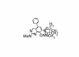 CNc1ncc2c(-c3ccccc3)cc(B3OC(C)(C)C(C)(C)O3)c(OC)c2n1